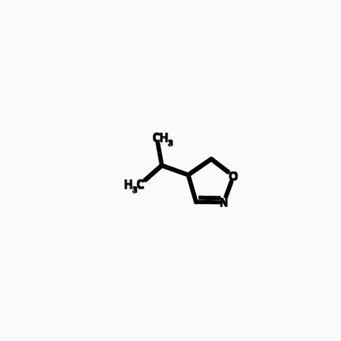 CC(C)C1C=NOC1